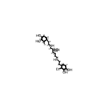 Br.Br.CCc1c(CCNCCCCCCNCCc2ccc(O)c(O)c2C)ccc(O)c1O